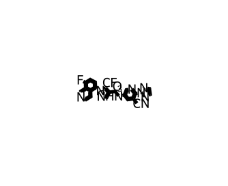 N#Cc1cc(NC(=O)c2cnn(-c3ccc(F)c4cnccc34)c2C(F)(F)F)cnc1-n1nccn1